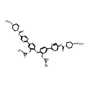 CCCCC[C@H]1CC[C@H](C(=O)Oc2cnc(-c3ccc(Oc4ccc(-c5ncc(OC(=O)[C@H]6CC[C@H](CCCCC)CC6)cn5)cc4C[C@@H]4O[C@H]4CCC)c(C[C@@H]4O[C@H]4CCC)c3)nc2)CC1